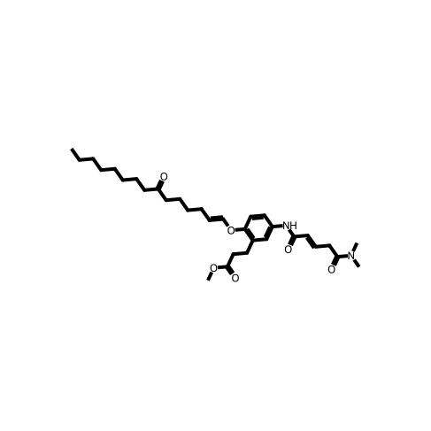 CCCCCCCCC(=O)CCCCC=COc1ccc(NC(=O)C=CCC(=O)N(C)C)cc1CCC(=O)OC